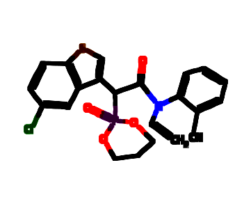 C=CN(C(=O)C(c1csc2ccc(Cl)cc12)P1(=O)OCCCO1)c1ccccc1C#N